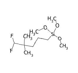 CO[Si](CCCC(C)(C)C(F)F)(OC)OC